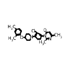 Cc1ccc(OC2CCN(c3ccc(-n4c(C)nc(C)cc4=O)cc3Cl)CC2)c(C)c1